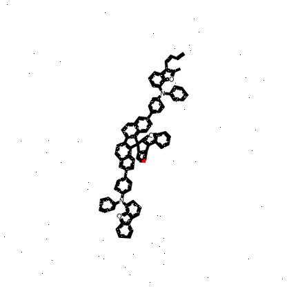 C=C/C=C\c1c(C)oc2c(N(c3ccccc3)c3ccc(-c4ccc5c6c(ccc5c4)-c4ccc5cc(-c7ccc(N(c8ccccc8)c8cccc9c8oc8ccccc89)cc7)ccc5c4C64c5ccccc5-c5c4ccc4ccccc54)cc3)cccc12